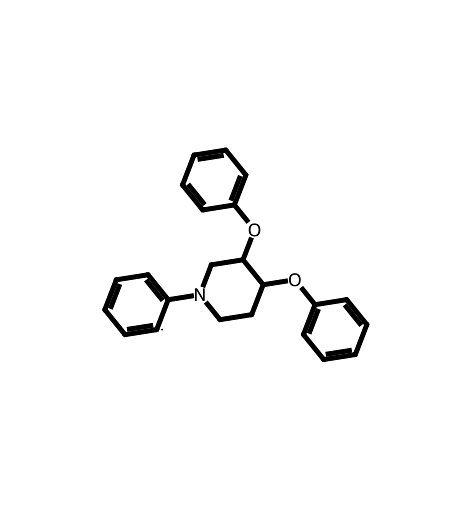 [c]1ccccc1N1CCC(Oc2ccccc2)C(Oc2ccccc2)C1